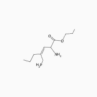 CCCOC(=O)C(N)C=C(CP)CCC